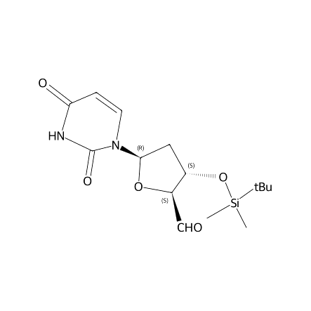 CC(C)(C)[Si](C)(C)O[C@H]1C[C@H](n2ccc(=O)[nH]c2=O)O[C@@H]1C=O